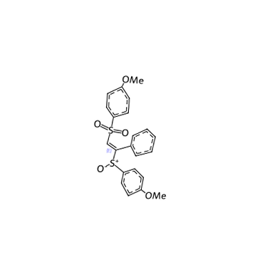 COc1ccc([S+]([O-])/C(=C/S(=O)(=O)c2ccc(OC)cc2)c2ccccc2)cc1